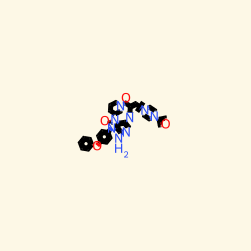 CC(C)(/C=C(\C#N)C(=O)N1CCCC(n2c(=O)n(-c3ccc(Oc4ccccc4)cc3)c3c(N)nccc32)C1)N1CCN(C2COC2)CC1